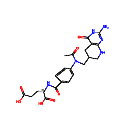 CC(=O)N(CC1CNc2nc(N)[nH]c(=O)c2C1)c1ccc(C(=O)N[C@@H](CCC(=O)O)C(=O)O)cc1